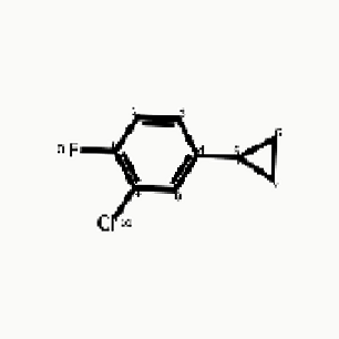 Fc1ccc([C]2CC2)cc1Cl